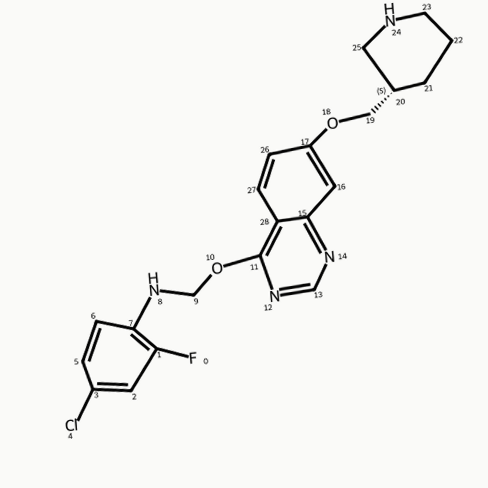 Fc1cc(Cl)ccc1NCOc1ncnc2cc(OC[C@H]3CCCNC3)ccc12